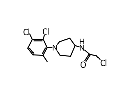 Cc1ccc(Cl)c(Cl)c1N1CCC(NC(=O)CCl)CC1